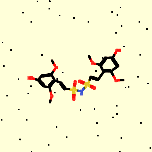 COc1cc(O)cc(OC)c1/C=C/S(=O)(=O)NS(=O)(=O)/C=C/c1c(OC)cc(O)cc1OC